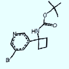 CC(C)(C)OC(=O)NC1(c2cncc(Br)c2)CCC1